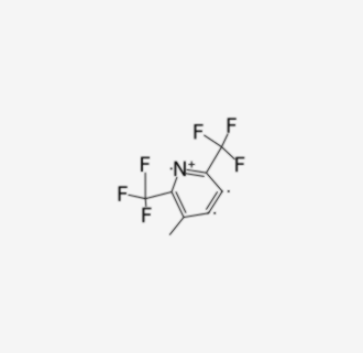 CC1=C(C(F)(F)F)[N+]=C(C(F)(F)F)[C]=[C]1